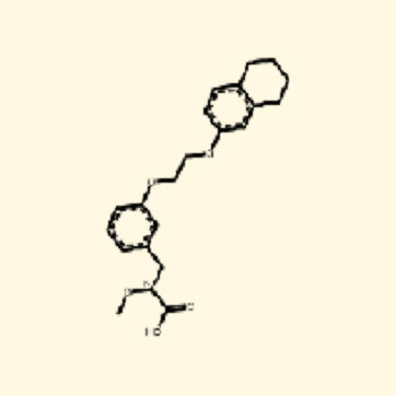 CO[C@@H](Cc1cccc(OCCOc2ccc3c(c2)CCCC3)c1)C(=O)O